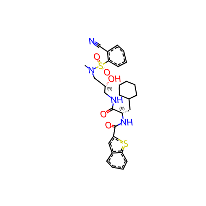 CN(C[C@H](O)CNC(=O)[C@H](CC1CCCCC1)NC(=O)c1cc2ccccc2s1)S(=O)(=O)c1ccccc1C#N